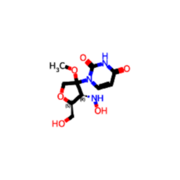 COC1(n2ccc(=O)[nH]c2=O)CO[C@H](CO)[C@H]1NO